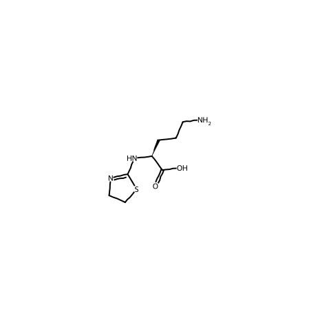 NCCC[C@H](NC1=NCCS1)C(=O)O